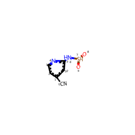 N#Cc1ccnc(N[SH](=O)=O)c1